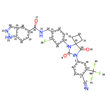 N#Cc1ccc(N2C(=O)N(c3ccc(CNC(=O)c4ccc5[nH]ncc5c4)c(F)c3)C3(CCC3)C2=O)cc1C(F)(F)F